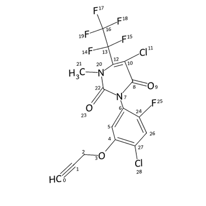 C#CCOc1cc(-n2c(=O)c(Cl)c(C(F)(F)C(F)(F)F)n(C)c2=O)c(F)cc1Cl